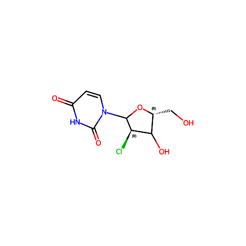 O=c1ccn(C2O[C@H](CO)C(O)[C@H]2Cl)c(=O)[nH]1